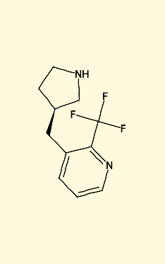 FC(F)(F)c1ncccc1C[C@H]1CCNC1